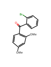 COc1ccc(C(=O)c2ccccc2Br)c(OC)c1